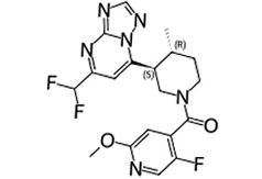 COc1cc(C(=O)N2CC[C@@H](C)[C@H](c3cc(C(F)F)nc4ncnn34)C2)c(F)cn1